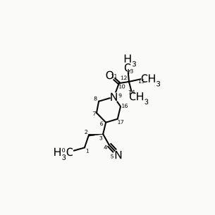 CCC[C@H](C#N)C1CCN(C(=O)C(C)(C)C)CC1